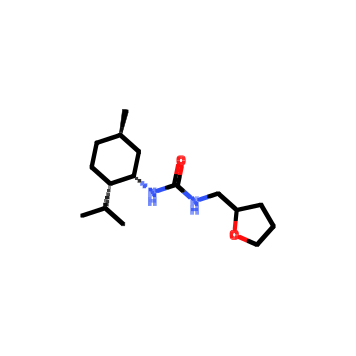 CC(C)[C@@H]1CC[C@@H](C)C[C@@H]1NC(=O)NCC1CCCO1